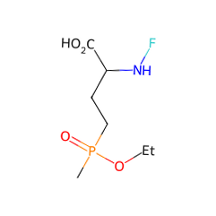 CCOP(C)(=O)CCC(NF)C(=O)O